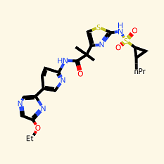 CCCC1CC1S(=O)(=O)Nc1nc(C(C)(C)C(=O)Nc2ccc(-c3cncc(OCC)n3)cn2)cs1